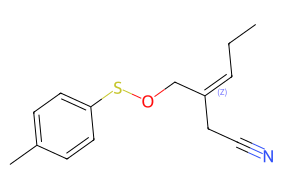 CC/C=C(/CC#N)COSc1ccc(C)cc1